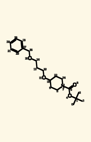 CC(C)(C)OC(=O)N1CCC(OCCCOCc2ccccc2)CC1